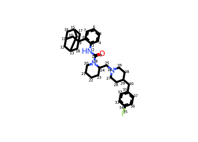 O=C(Nc1ccccc1C12CC3CC(CC(C3)C1)C2)N1CCCCC1CN1CCC(Cc2ccc(F)cc2)CC1